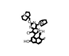 C#Cc1c(F)ccc2cc(O)cc(-c3cnc4c(N5CC6CCC(C5)N6)nc(OCC56CCCN5CCC6)nc4c3Cl)c12